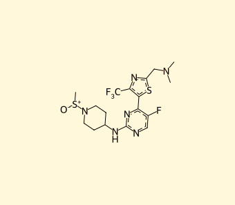 CN(C)Cc1nc(C(F)(F)F)c(-c2nc(NC3CCN([S+](C)[O-])CC3)ncc2F)s1